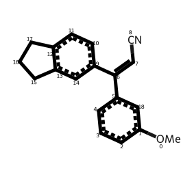 COc1cccc(/C(=C/C#N)c2ccc3c(c2)CCC3)c1